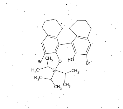 CC(C)[Si](Oc1c(Br)cc2c(c1-c1c(O)c(Br)cc3c1CCCC3)CCCC2)(C(C)C)C(C)C